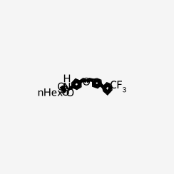 CCCCCCS(=O)(=O)NC(=O)c1ccc(COCc2ccc(-c3cccc(C(F)(F)F)c3)cc2)cc1